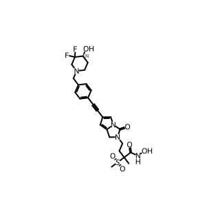 CC(CCN1Cc2cc(C#Cc3ccc(CN4CC[C@H](O)C(F)(F)C4)cc3)cn2C1=O)(C(=O)NO)S(C)(=O)=O